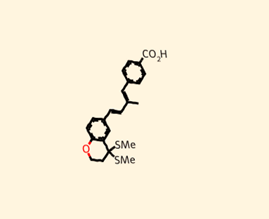 CSC1(SC)CCOc2ccc(C=CC(C)=Cc3ccc(C(=O)O)cc3)cc21